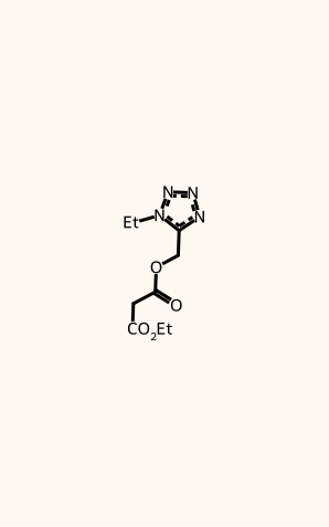 CCOC(=O)CC(=O)OCc1nnnn1CC